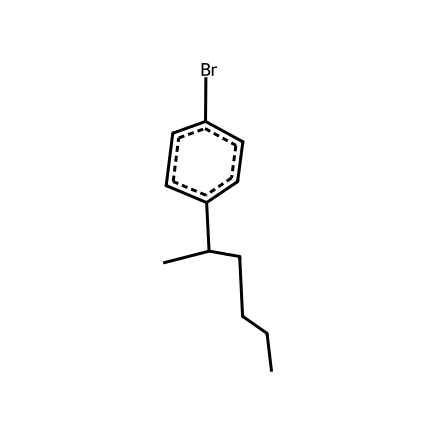 CCCCC(C)c1ccc(Br)cc1